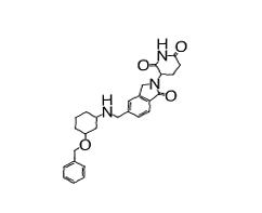 O=C1CCC(N2Cc3cc(CNC4CCCC(OCc5ccccc5)C4)ccc3C2=O)C(=O)N1